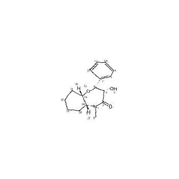 CN1C(=O)[C@@H](O)[C@@H](c2ccccc2)O[C@H]2CCCC[C@H]21